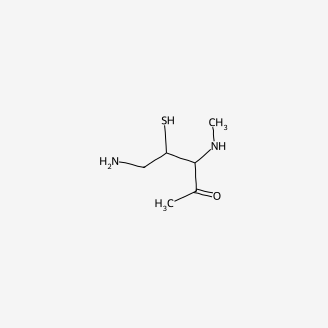 CNC(C(C)=O)C(S)CN